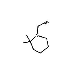 CC(C)CN1CCCCC1(C)C